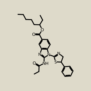 CCCCCC(CC)OC(=O)c1ccc2c(c1)nc(NC(=O)CC)n2C1=NCC(c2ccccc2)S1